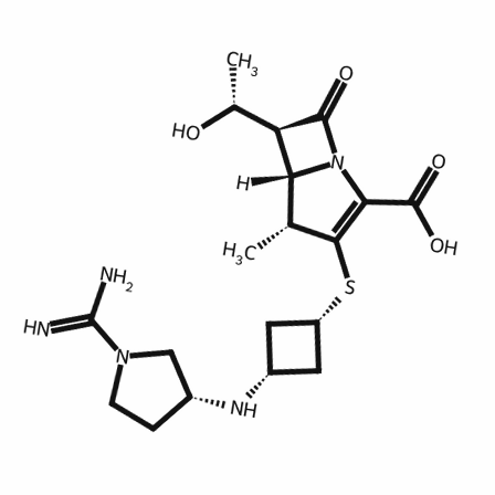 C[C@@H](O)[C@H]1C(=O)N2C(C(=O)O)=C(S[C@H]3C[C@@H](N[C@@H]4CCN(C(=N)N)C4)C3)[C@H](C)[C@H]12